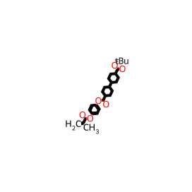 C=C(C)C(=O)Oc1ccc(OC(=O)C2CCC(C3CCC(C(=O)OC(C)(C)C)CC3)CC2)cc1